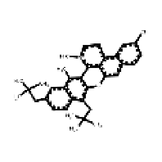 Cc1ccc2cc3c4c([n+](C)ccc4c2c1)-c1c(c(CC(C)(C)C)c2ccc(CC(C)(C)C)cc2c1C)O3